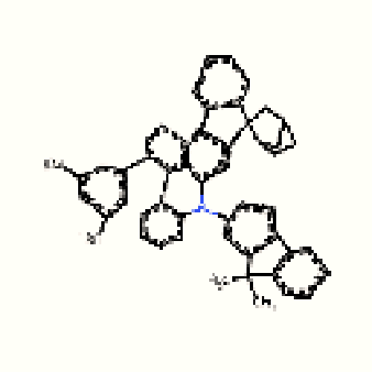 CC(C)(C)c1cc(-c2ccccc2-c2ccccc2N(c2ccc3c(c2)C(C)(C)c2ccccc2-3)c2ccc3c(c2)C2(CC4CCC2C4)c2ccccc2-3)cc(C(C)(C)C)c1